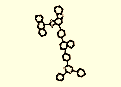 c1ccc(-c2nc(-c3ccccc3)nc(-c3ccc(-c4ccc(-c5ccc(-c6cc7oc8ccccc8c7c7oc(-c8c9ccccc9cc9ccccc89)nc67)cc5)c5ccccc45)cc3)n2)cc1